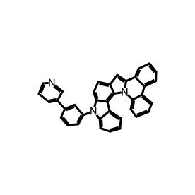 c1cncc(-c2cccc(-n3c4ccccc4c4c3ccc3cc5c6ccccc6c6ccccc6n5c34)c2)c1